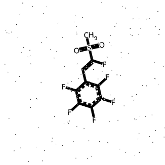 CS(=O)(=O)C(F)=Cc1c(F)c(F)c(F)c(F)c1F